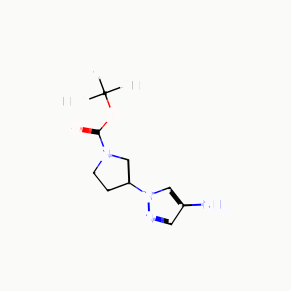 CC(C)(C)OC(=O)N1CCC(n2cc(N)cn2)C1